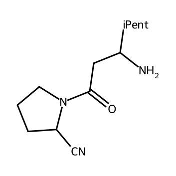 CCCC(C)C(N)CC(=O)N1CCCC1C#N